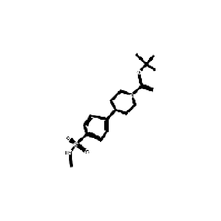 C=C(OC(C)(C)C)N1CCC(c2ccc(S(=O)(=O)NC)cc2)CC1